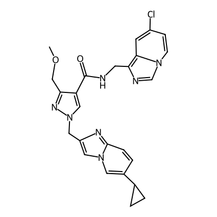 COCc1nn(Cc2cn3cc(C4CC4)ccc3n2)cc1C(=O)NCc1ncn2ccc(Cl)cc12